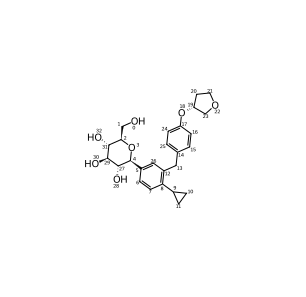 OC[C@H]1O[C@@H](c2ccc(C3CC3)c(Cc3ccc(O[C@@H]4CCOC4)cc3)c2)[C@H](O)[C@@H](O)[C@@H]1O